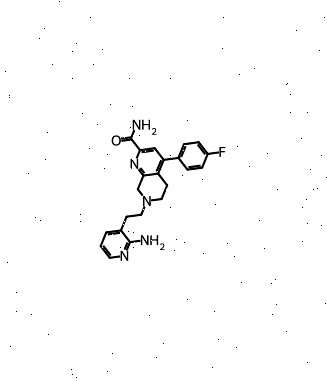 NC(=O)c1cc(-c2ccc(F)cc2)c2c(n1)CN(CCc1cccnc1N)CC2